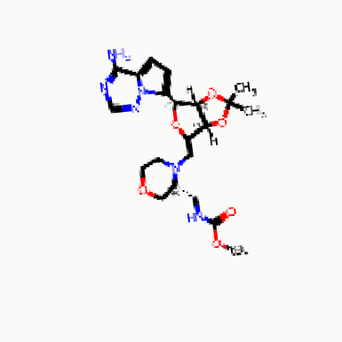 CC(C)(C)OC(=O)NC[C@@H]1COCCN1CC1O[C@@H](c2ccc3c(N)ncnn23)[C@@H]2OC(C)(C)O[C@H]12